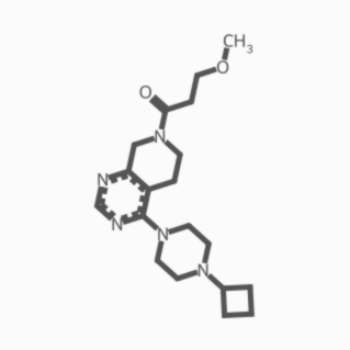 COCCC(=O)N1CCc2c(ncnc2N2CCN(C3CCC3)CC2)C1